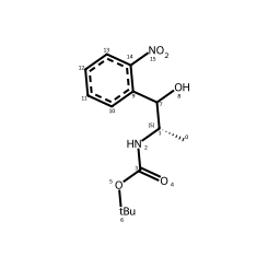 C[C@H](NC(=O)OC(C)(C)C)C(O)c1ccccc1[N+](=O)[O-]